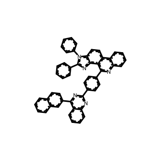 c1ccc(-c2nc3c4c(-c5ccc(-c6nc(-c7ccc8ccccc8c7)c7ccccc7n6)cc5)nc5ccccc5c4ccc3n2-c2ccccc2)cc1